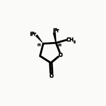 CC(C)[C@H]1CC(=O)O[C@]1(C)C(C)C